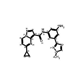 Cn1cnc(-c2cc(N)cc(NC(=O)c3cnn4ccc(C5CC5)nc34)c2)n1